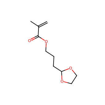 C=C(C)C(=O)OCCCC1OCCO1